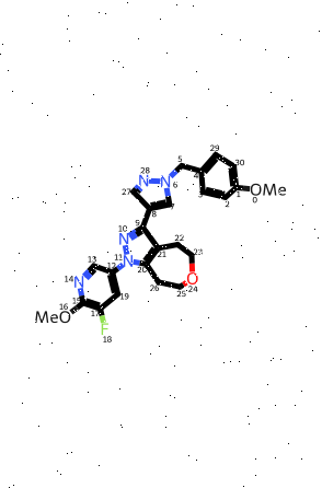 COc1ccc(Cn2cc(-c3nn(-c4cnc(OC)c(F)c4)c4c3CCOCC4)cn2)cc1